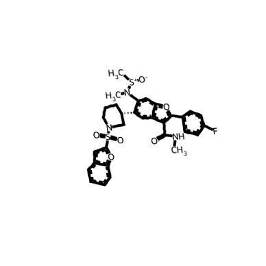 CNC(=O)c1c(-c2ccc(F)cc2)oc2cc(N(C)[S+](C)[O-])c([C@H]3CCCN(S(=O)(=O)c4cc5ccccc5o4)C3)cc12